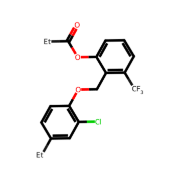 CCC(=O)Oc1cccc(C(F)(F)F)c1COc1ccc(CC)cc1Cl